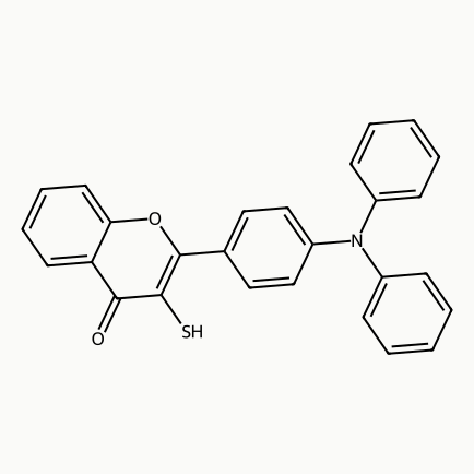 O=c1c(S)c(-c2ccc(N(c3ccccc3)c3ccccc3)cc2)oc2ccccc12